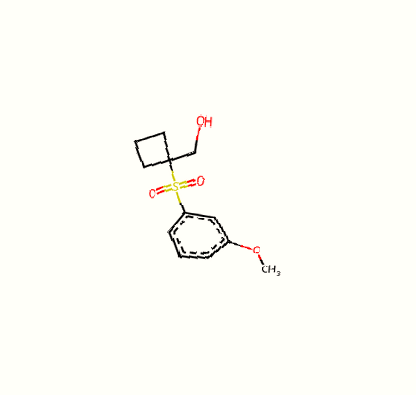 COc1cccc(S(=O)(=O)C2(CO)CCC2)c1